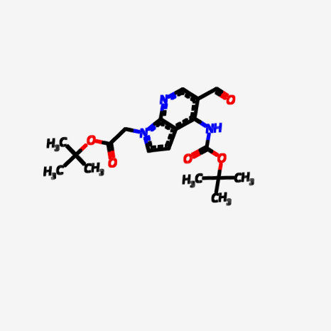 CC(C)(C)OC(=O)Cn1ccc2c(NC(=O)OC(C)(C)C)c(C=O)cnc21